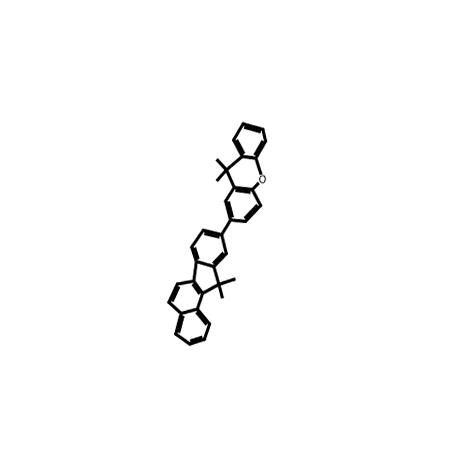 CC1(C)c2ccccc2Oc2ccc(-c3ccc4c(c3)C(C)(C)c3c-4ccc4ccccc34)cc21